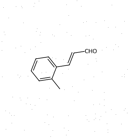 Cc1ccccc1/C=C/C=O